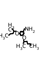 CCCCC(CC)COc1cc(CN)cc(OCC(CC)CCCC)c1